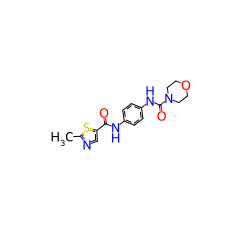 Cc1ncc(C(=O)Nc2ccc(NC(=O)N3CCOCC3)cc2)s1